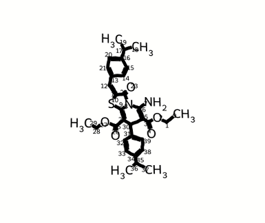 CCOC(=O)C1=C(N)n2c(s/c(=C/c3ccc(C(C)C)cc3)c2=O)=C(C(=O)OCC)C1c1ccc(C(C)C)cc1